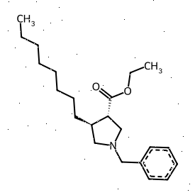 CCCCCCCC[C@@H]1CN(Cc2ccccc2)C[C@H]1C(=O)OCC